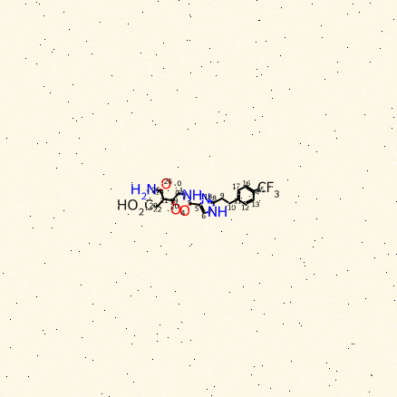 C[C@H](NC(=O)c1c[nH]c(CCc2ccc(C(F)(F)F)cc2)n1)C(=O)C(CC(=O)O)C(N)=O